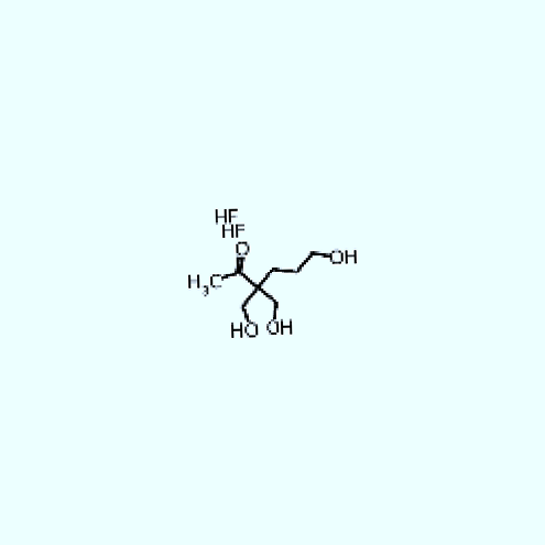 CC(=O)C(CO)(CO)CCCO.F.F